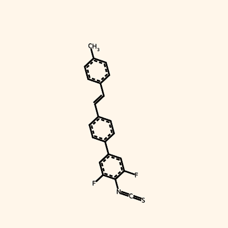 Cc1ccc(C=Cc2ccc(-c3cc(F)c(N=C=S)c(F)c3)cc2)cc1